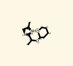 Cc1cnc(C(C)OC2CCCCO2)[nH]1